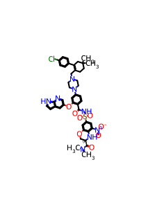 CN(C)C(=O)[C@H]1COc2cc(S(=O)(=O)NC(=O)c3ccc(N4CCN(CC5=C(c6ccc(Cl)cc6)CC(C)(C)CC5)CC4)cc3Oc3cnc4[nH]ccc4c3)cc([N+](=O)[O-])c2N1